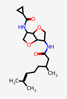 CC(C)=CCCC(C)CC(=O)NC1COC2C(NC(=O)C3CC3)COC12